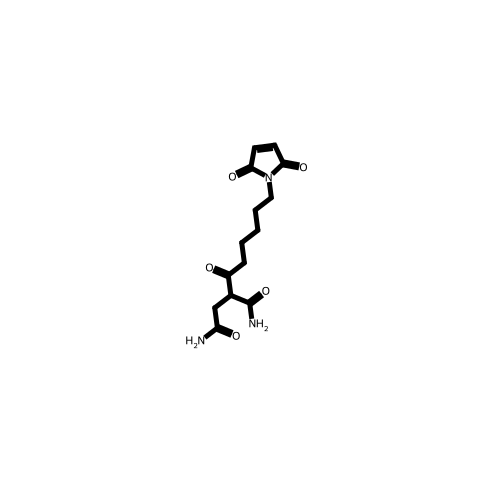 NC(=O)CC(C(N)=O)C(=O)CCCCCN1C(=O)C=CC1=O